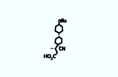 CCCCC1CCC([C@H]2CC[C@](C#N)([C@@H](C)CC(=O)O)CC2)CC1